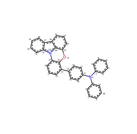 c1ccc(N(c2ccccc2)c2ccc(-c3cccc4c3Oc3cccc5c6ccccc6n-4c35)cc2)cc1